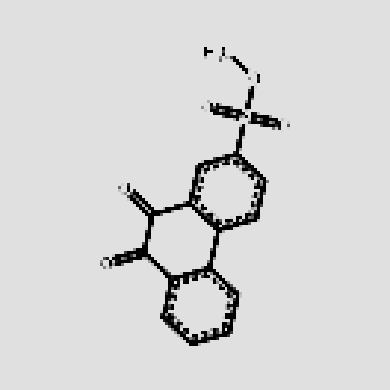 COS(=O)(=O)c1ccc2c(c1)C(=O)C(=O)c1ccccc1-2